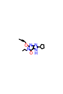 CC#CCOc1nc2nc(C3CCCC3)[nH]c2c(=O)n1CCC